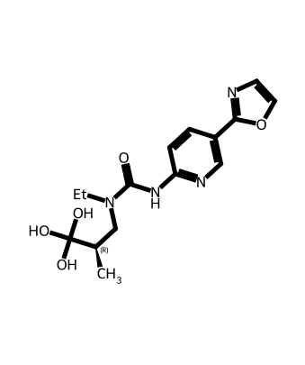 CCN(C[C@@H](C)C(O)(O)O)C(=O)Nc1ccc(-c2ncco2)cn1